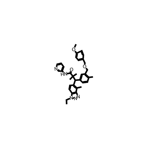 CCn1nnc2c(C)c(C(c3ccc(C)c(COCc4ccc(OC)cc4)c3)C(C)(C)C(=O)Nc3cccnc3)ccc21